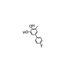 Cc1cc(-c2ccc(F)cc2)cc(O)c1O